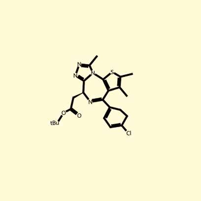 Cc1sc2c(c1C)C(C1=CC=C(Cl)CC1)=N[C@@H](CC(=O)OC(C)(C)C)c1nnc(C)n1-2